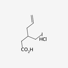 C=CCC(CI)CC(=O)O.Cl